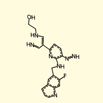 N=C/C(=C\NCCO)c1ccc(N=N)c(NCc2cc3cccnc3cc2F)n1